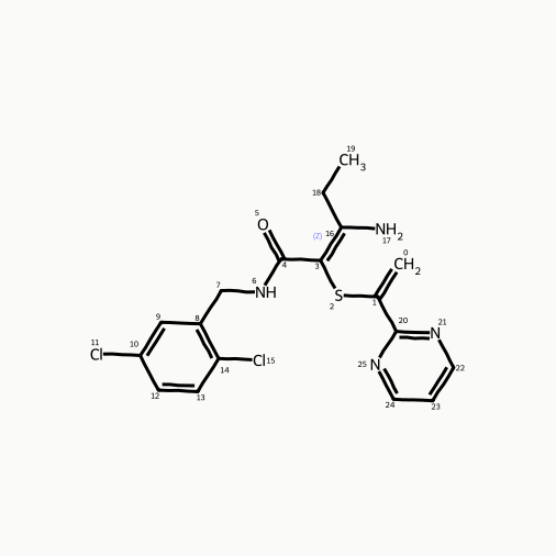 C=C(S/C(C(=O)NCc1cc(Cl)ccc1Cl)=C(\N)CC)c1ncccn1